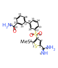 CSc1sc(C(=N)N)cc1S(=O)(=O)c1cccc(-c2cccc(C(N)=O)c2)c1